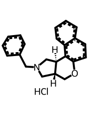 Cl.c1ccc(CN2C[C@H]3COc4ccc5ccccc5c4[C@@H]3C2)cc1